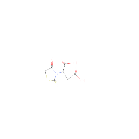 O=C(O)CC(C(=O)O)N1C(=O)CSC1=S